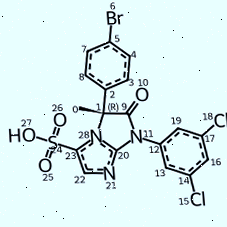 C[C@@]1(c2ccc(Br)cc2)C(=O)N(c2cc(Cl)cc(Cl)c2)c2ncc(S(=O)(=O)O)n21